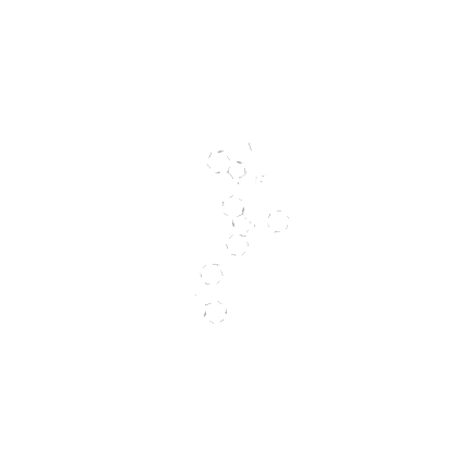 C=Nc1c(/C=C\C)c2ccccc2n1-c1ccc2c3cc(-c4ccc5c(c4)-c4ccccc4C5(C)C)ccc3n(-c3ccccc3)c2c1